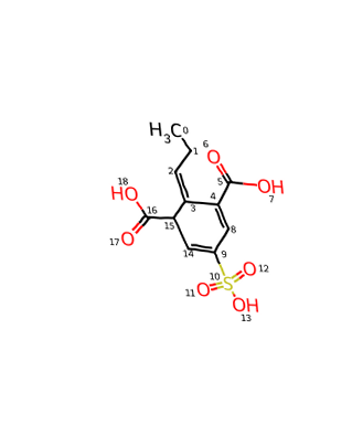 CCC=C1C(C(=O)O)=CC(S(=O)(=O)O)=CC1C(=O)O